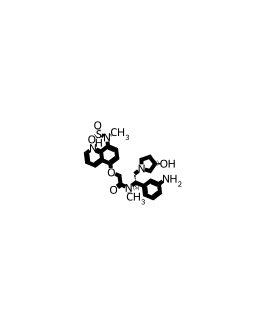 CN(C(=O)COc1ccc(N(C)[SH](=O)=O)c2ncccc12)[C@H](CN1CC[C@H](O)C1)c1cccc(N)c1